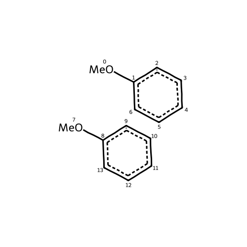 COc1[c]cccc1.COc1[c]cccc1